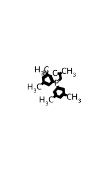 Cc1cc(C)cc(P(CC(C)C)c2cc(C)cc(C)c2)c1